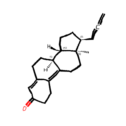 C=C=C[C@@H]1CC[C@H]2[C@@H]3CCC4=CC(=O)CCC4=C3CC[C@]12C